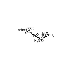 CCCCCCCCC(CCCCCC)C(=O)OCCCCNC(=O)CCC(N)C(=O)OCC(O)CN(C)C